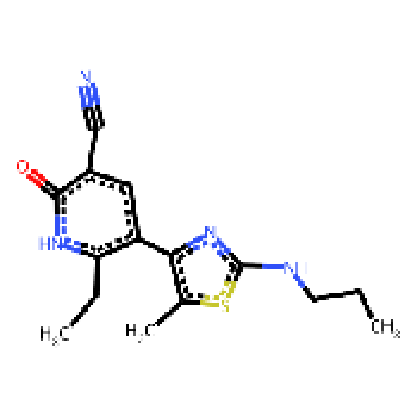 CCCNc1nc(-c2cc(C#N)c(=O)[nH]c2CC)c(C)s1